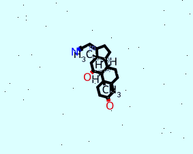 CC12CCC(=O)C=C1CC[C@@H]1[C@@H]2C(=O)C[C@]2(C)/C(=C\C#N)CC[C@@H]12